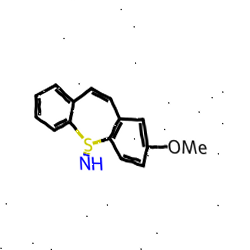 COc1ccc2c(c1)C=Cc1ccccc1S2=N